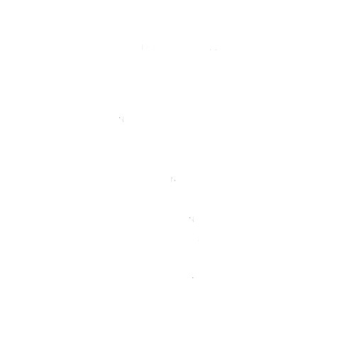 CC(C)(C)OC(=O)N1CCN(C(=O)C=C(C#N)c2ccc(O)c(CO)c2)CC1